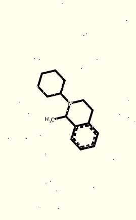 CC1c2ccccc2CCN1C1CCCCC1